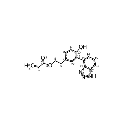 C=CC(=O)OCCc1ccc(O)c(-c2cccc3[nH]nnc23)c1